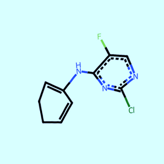 Fc1cnc(Cl)nc1NC1=CCCC=C1